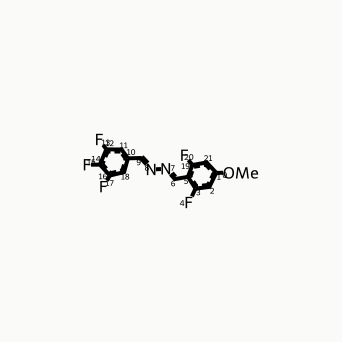 COc1cc(F)c(/C=N/N=C/c2cc(F)c(F)c(F)c2)c(F)c1